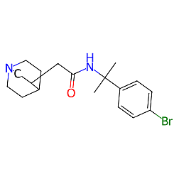 CC(C)(NC(=O)CC1CN2CCC1CC2)c1ccc(Br)cc1